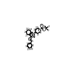 CC(C)(C)OC(=O)N1CCC(n2nc(OCc3ccccc3)c3c2CCCC3)CC1